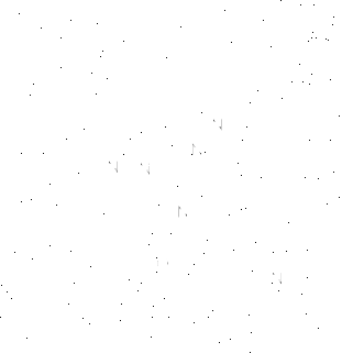 Cc1cc(NC(=O)c2ccncc2)n(-c2nncc3ccccc23)n1